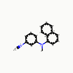 [C-]#[N+]c1cccc(N(C)c2cccc3ccccc23)c1